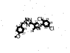 COc1ccc(Cn2nnc(-c3cn(-c4cc(Cl)ccc4Cl)nc3I)n2)cc1